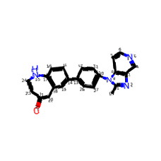 Cc1nc2cnccc2n1-c1ccc(-c2ccc3c(c2)CC(=O)C=CN3)cc1